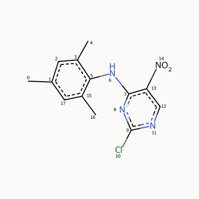 Cc1cc(C)c(Nc2nc(Cl)ncc2[N+](=O)[O-])c(C)c1